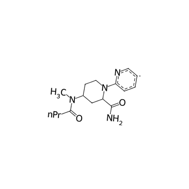 CCCC(=O)N(C)C1CCN(c2cc[c]cn2)C(C(N)=O)C1